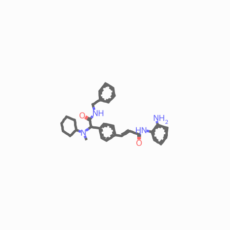 CN(C1CCCCC1)C(C(=O)NCc1ccccc1)c1ccc(/C=C/C(=O)Nc2ccccc2N)cc1